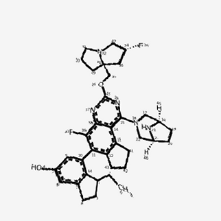 CCC1CCc2cc(O)cc(-c3c4c(c5c(N6C[C@H]7CC[C@@H](C6)N7)nc(OC[C@@]67CCCN6C[C@H](F)C7)nc5c3F)CCC4)c21